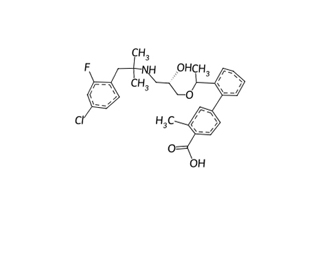 Cc1cc(-c2ccccc2C(C)OC[C@@H](O)CNC(C)(C)Cc2ccc(Cl)cc2F)ccc1C(=O)O